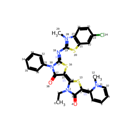 CCn1c(=O)/c(=C2\C=CC=CN2C)s/c1=C1\S/C(=N\c2sc3cc(Cl)ccc3[n+]2C)N(c2ccccc2)C1=O